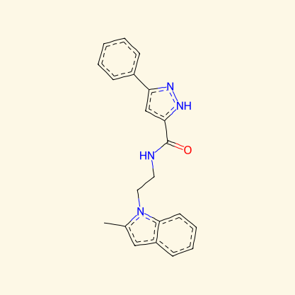 Cc1cc2ccccc2n1CCNC(=O)c1cc(-c2ccccc2)n[nH]1